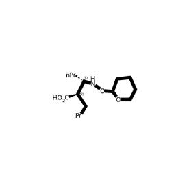 CCC[C@H](NOC1CCCCO1)[C@@H](CC(C)C)C(=O)O